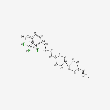 C=CC1CCC(C2CCC(CCCCc3ccc(C)c(C(F)F)c3F)CC2)CC1